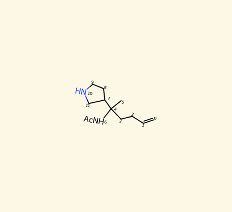 C=CCCC(C)(NC(C)=O)C1CCNC1